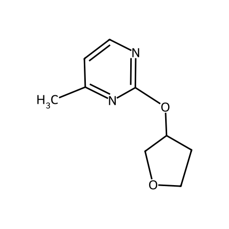 Cc1ccnc(OC2CCOC2)n1